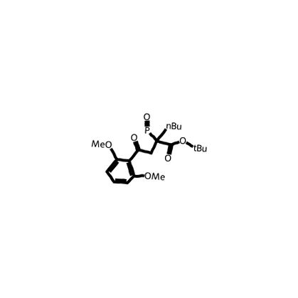 CCCCC(CC(=O)c1c(OC)cccc1OC)(P=O)C(=O)OC(C)(C)C